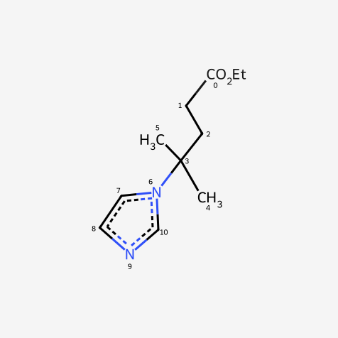 CCOC(=O)CCC(C)(C)n1ccnc1